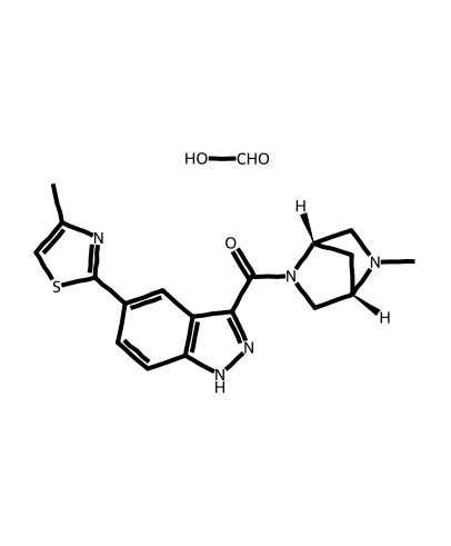 Cc1csc(-c2ccc3[nH]nc(C(=O)N4C[C@@H]5C[C@H]4CN5C)c3c2)n1.O=CO